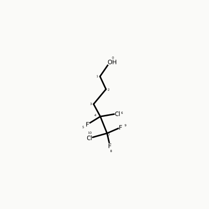 OCCCC(F)(Cl)C(F)(F)Cl